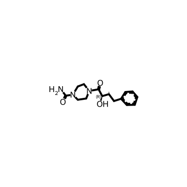 NC(=O)N1CCN(C(=O)[C@H](O)[CH]Cc2ccccc2)CC1